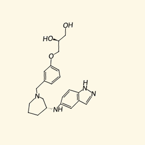 OC[C@H](O)COc1cccc(CN2CCC[C@@H](Nc3ccc4[nH]ncc4c3)C2)c1